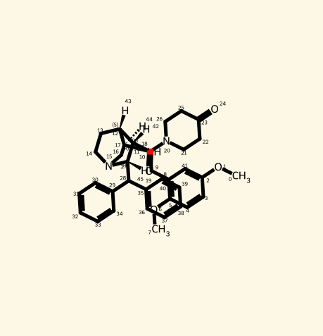 COc1ccc(OC)c(CN[C@H]2[C@H]3CCN(C[C@@H]3C(=O)N3CCC(=O)CC3)[C@H]2C(c2ccccc2)c2ccccc2)c1